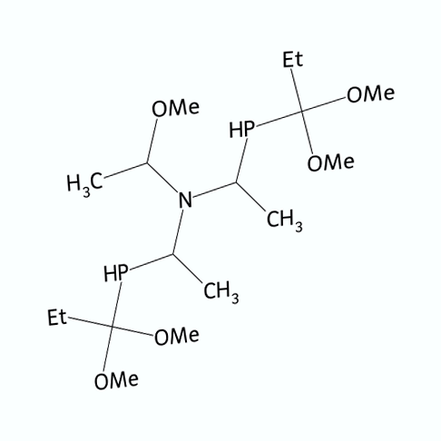 CCC(OC)(OC)PC(C)N(C(C)OC)C(C)PC(CC)(OC)OC